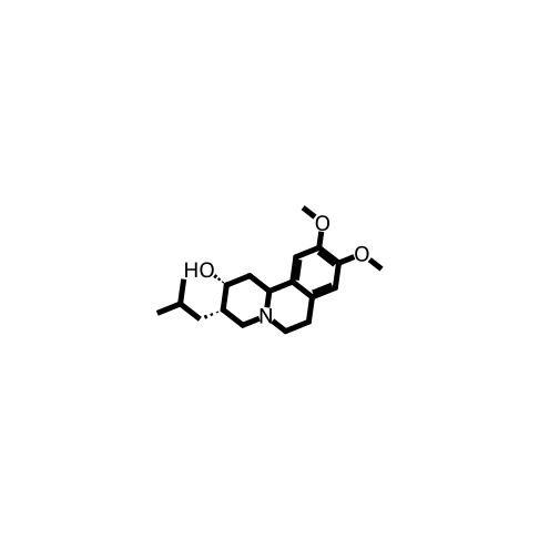 COc1cc2c(cc1OC)C1C[C@@H](O)[C@@H](CC(C)C)CN1CC2